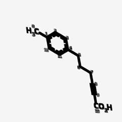 Cc1ccc(CCCC#CC(=O)O)cc1